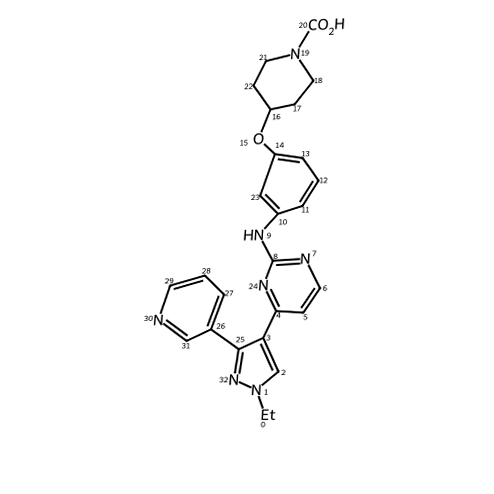 CCn1cc(-c2ccnc(Nc3cccc(OC4CCN(C(=O)O)CC4)c3)n2)c(-c2cccnc2)n1